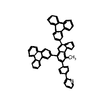 Cc1c(-c2ccc(-c3ccccn3)cc2)cc(-c2ccc3c4ccccc4c4ccccc4c3c2)c2cc(-c3ccc4c5ccccc5c5ccccc5c4c3)c3ccccc3c12